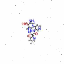 Cc1cnc2c(C(=O)Nc3cnccc3N3CC(C)[C@@H](O)C(N)C3)c(N)oc2c1